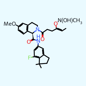 C/C=C(/CCC(=O)N1CCc2cc(OC)ccc2[C@@H]1C(=O)Nc1cc(F)c2c(c1)CCC2(C)C)ON(C)O